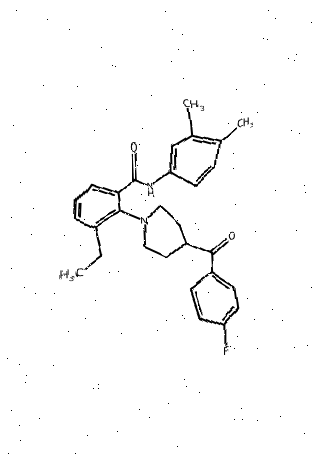 CCc1cccc(C(=O)Nc2ccc(C)c(C)c2)c1N1CCC(C(=O)c2ccc(F)cc2)CC1